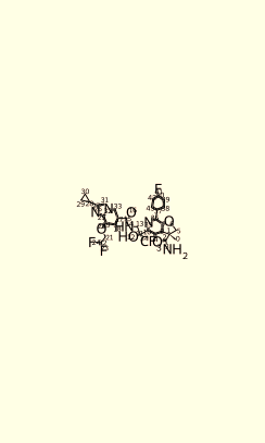 C[C@]1(C(N)=O)COc2c1cc([C@@](O)(CNC(=O)c1cc(OCC(F)F)c3nc(C4CC4)cn3c1)C(F)(F)F)nc2-c1ccc(F)cc1